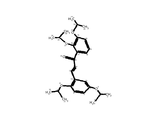 CC(C)Oc1ccc(OC(C)C)c(C=CC(=O)c2cccc(OC(C)C)c2OC(C)C)c1